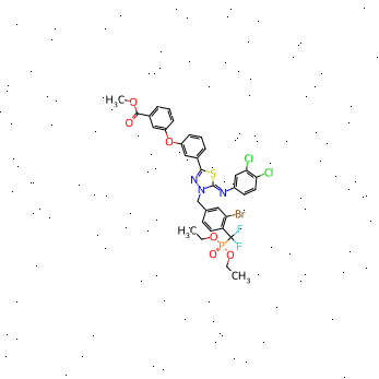 CCOP(=O)(OCC)C(F)(F)c1ccc(Cn2nc(-c3cccc(Oc4cccc(C(=O)OC)c4)c3)sc2=Nc2ccc(Cl)c(Cl)c2)cc1Br